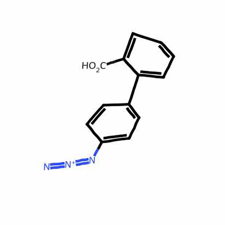 [N-]=[N+]=Nc1ccc(-c2ccccc2C(=O)O)cc1